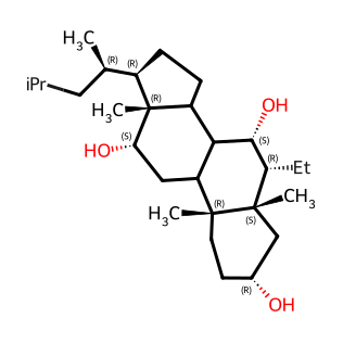 CC[C@H]1[C@@H](O)C2C3CC[C@H]([C@H](C)CC(C)C)[C@@]3(C)[C@@H](O)CC2[C@@]2(C)CC[C@@H](O)C[C@@]12C